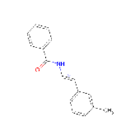 Cc1cccc(/C=C/NC(=O)c2ccccc2)c1